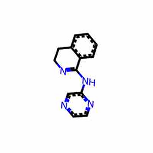 c1ccc2c(c1)CCN=C2Nc1cnccn1